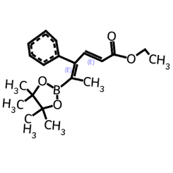 CCOC(=O)/C=C/C(=C(\C)B1OC(C)(C)C(C)(C)O1)c1ccccc1